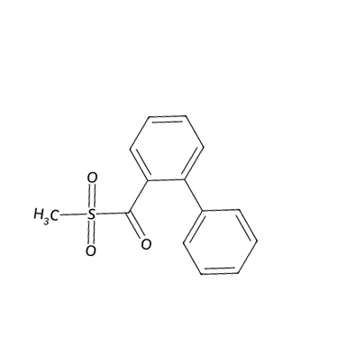 CS(=O)(=O)C(=O)c1ccccc1-c1ccccc1